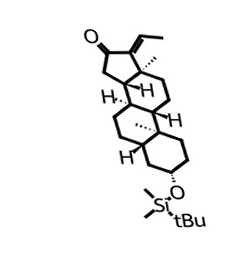 C/C=C1/C(=O)C[C@H]2[C@@H]3CC[C@H]4C[C@@H](O[Si](C)(C)C(C)(C)C)CC[C@]4(C)[C@H]3CC[C@]12C